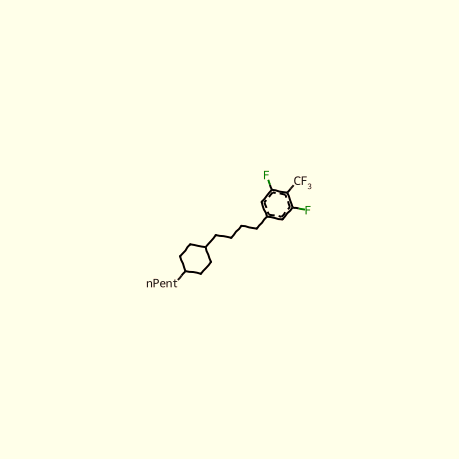 CCCCCC1CCC(CCCCc2cc(F)c(C(F)(F)F)c(F)c2)CC1